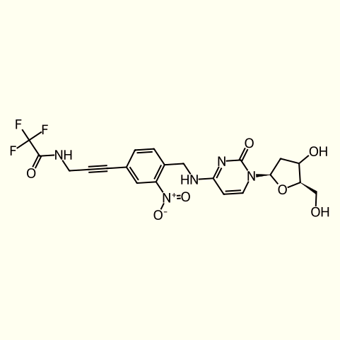 O=C(NCC#Cc1ccc(CNc2ccn([C@H]3CC(O)[C@@H](CO)O3)c(=O)n2)c([N+](=O)[O-])c1)C(F)(F)F